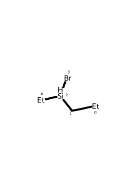 CCC[SiH](Br)CC